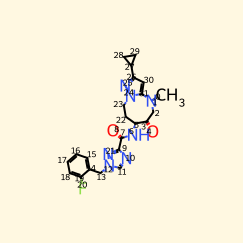 CN1CC(=O)[C@@H](NC(=O)c2ncn(Cc3ccccc3F)n2)CCn2nc(C3CC3)cc21